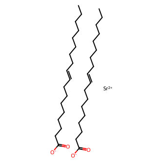 CCCCCCCCC=CCCCCCCCC(=O)[O-].CCCCCCCCC=CCCCCCCCC(=O)[O-].[Sr+2]